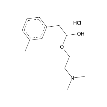 Cc1cccc(CC(O)OCCN(C)C)c1.Cl